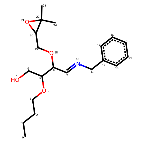 CCCCOC(CO)C(/C=N/Cc1ccccc1)OCC1OC1(C)C